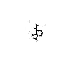 CC(N)C(C)c1cccc2c1C(=O)NC2=O